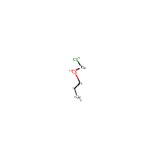 CCC[O][Ti][Cl]